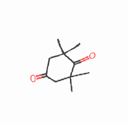 CC1(C)CC(=O)CC(C)(C)C1=O